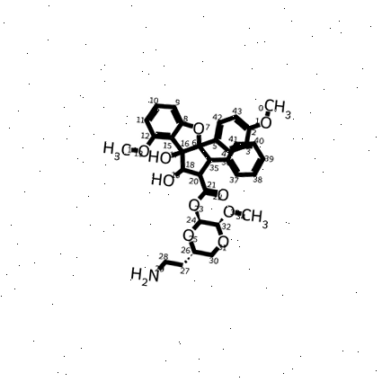 COc1ccc(C23Oc4cccc(OC)c4C2(O)C(O)C(C(=O)O[C@@H]2O[C@@H](CCN)CO[C@H]2OC)C3c2ccccc2)cc1